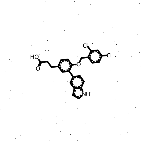 O=C(O)CCc1ccc(OCc2ccc(Cl)cc2Cl)c(-c2ccc3[nH]ccc3c2)c1